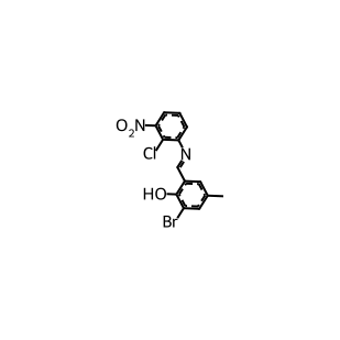 Cc1cc(Br)c(O)c(/C=N/c2cccc([N+](=O)[O-])c2Cl)c1